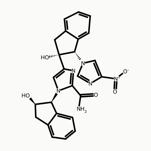 NC(=O)c1nc([C@@]2(O)Cc3ccccc3[C@@H]2n2cnc([N+](=O)[O-])c2)cn1[C@H]1c2ccccc2C[C@H]1O